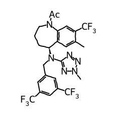 CC(=O)N1CCC[C@H](N(Cc2cc(C(F)(F)F)cc(C(F)(F)F)c2)c2nnn(C)n2)c2cc(C)c(C(F)(F)F)cc21